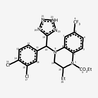 CCOC(=O)N1c2ccc(C(F)(F)F)cc2N(C(c2ccc(Cl)c(Cl)c2)c2nn[nH]n2)CC1CC